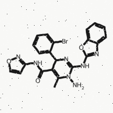 CC1=C(C(=O)Nc2ccon2)C(c2ccccc2Br)N=C(Nc2nc3ccccc3o2)N1N